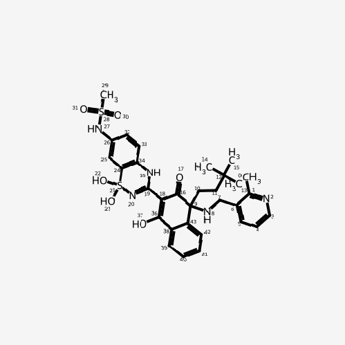 Cc1ncccc1CNC1(CCC(C)(C)C)C(=O)C(C2=NS(O)(O)c3cc(NS(C)(=O)=O)ccc3N2)=C(O)c2ccccc21